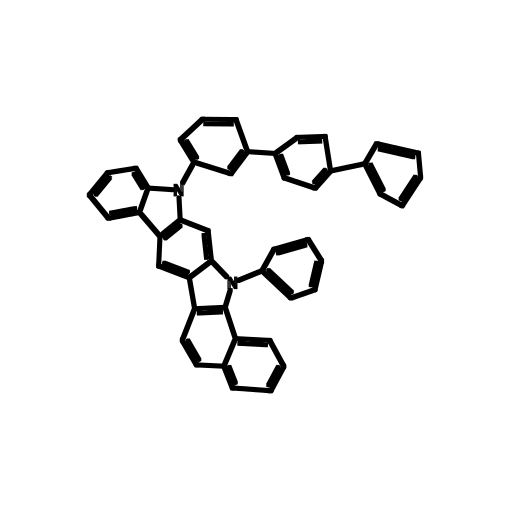 c1ccc(-c2ccc(-c3cccc(-n4c5ccccc5c5cc6c7ccc8ccccc8c7n(-c7ccccc7)c6cc54)c3)cc2)cc1